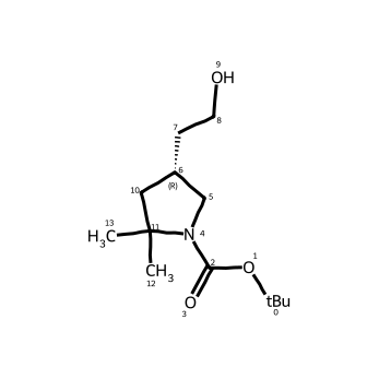 CC(C)(C)OC(=O)N1C[C@@H](CCO)CC1(C)C